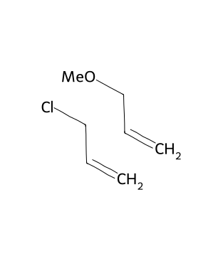 C=CCCl.C=CCOC